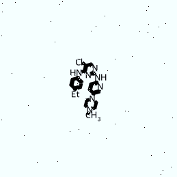 CCc1ccc(Nc2nc(Nc3ccc(N4CCN(C)CC4)cn3)ncc2Cl)cc1